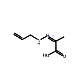 C=CCN/N=C(/C)C(=O)O